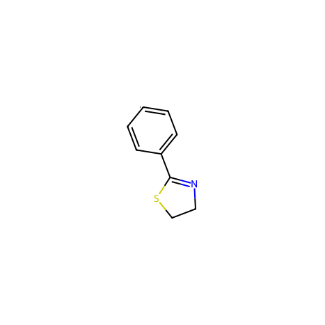 [c]1ccc(C2=NCCS2)cc1